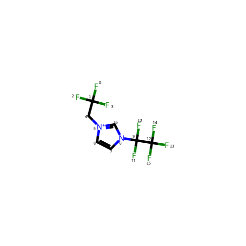 FC(F)(F)C[n+]1ccn(C(F)(F)C(F)(F)F)c1